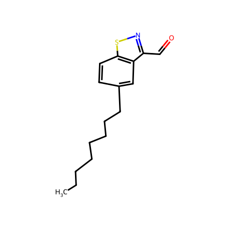 CCCCCCCCc1ccc2snc(C=O)c2c1